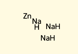 [NaH].[NaH].[NaH].[Zn]